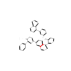 CC1CC=C(c2cccc(N(c3cccc(-c4cccc5ccccc45)c3)c3ccccc3-c3ccccc3)c2)C=C1c1ccccc1